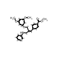 COC(=O)c1ccc(C=C(CNc2cccnc2)COc2cc(OC)cc(OC)c2)cc1